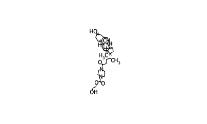 CC(CCC(=O)N1CCN(C(=O)OCCO)CC1)[C@H]1CC[C@H]2[C@@H]3CC=C4C[C@@H](O)CC[C@]4(C)[C@H]3CC[C@]12C